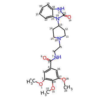 COc1cc(C(=O)NCCN2CCC(n3c(=O)[nH]c4ccccc43)CC2)cc(OC)c1OC